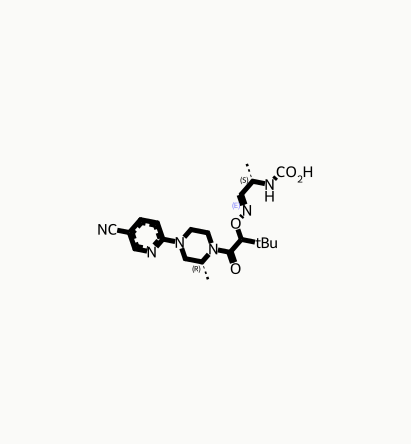 C[C@@H]1CN(c2ccc(C#N)cn2)CCN1C(=O)C(O/N=C/[C@H](C)NC(=O)O)C(C)(C)C